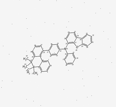 CC1(C)c2ccccc2-c2c(-c3ccc(N(c4ccccc4)c4cccc5c4oc4ccccc45)cc3)cccc2C1(C)C